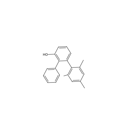 Cc1cc(C)c(-c2cccc(O)c2-c2ccccc2)c(C)c1